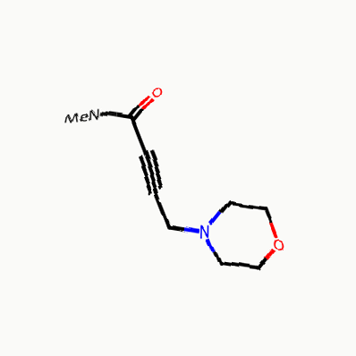 CNC(=O)C#CCN1CCOCC1